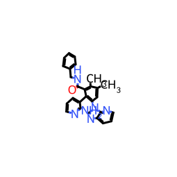 Cc1cc(-n2cnc3cccnc32)c(-c2cccnc2N)c(C(=O)NCc2ccccc2)c1C